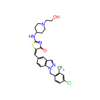 O=C1N=C(NC2CCN(CCO)CC2)SC1=Cc1ccc2c(cnn2Cc2ccc(Cl)cc2C(F)(F)F)c1